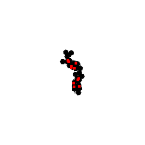 c1ccc(-c2cccc(-c3ccccc3N(c3ccc(-c4cccc5c4oc4ccc(-c6cccc7c6c6cccc8c6n7-c6ccccc6C86c7ccccc7-c7c(N(c8ccc(-c9ccc%10c%11ccccc%11n(-c%11ccccc%11)c%10c9)cc8)c8ccccc8-c8cccc(-c9ccccc9)c8)cccc76)cc45)cc3)c3cccc4c3-c3ccccc3C43c4ccccc4-n4c5ccccc5c5cccc3c54)c2)cc1